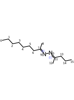 CCCCCCC/C(C)=N/N=C(\C)CCC